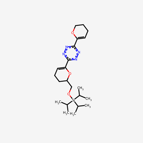 CC(C)[Si](OCC1CCC=C(c2nnc(C3=CCCCO3)nn2)O1)(C(C)C)C(C)C